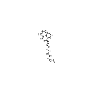 [CH]c1cccc2c(OCCCCCCCC)ccc([CH])c12